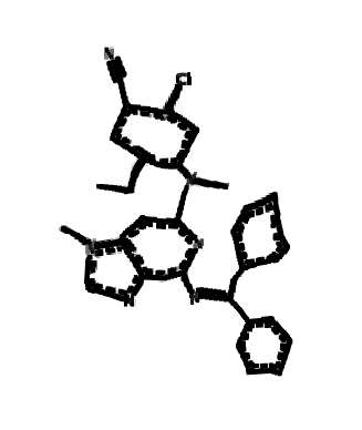 CCc1cc(C#N)c(Cl)cc1N(C)c1cc2c(ncn2C)c(N=C(c2ccccc2)c2ccccc2)n1